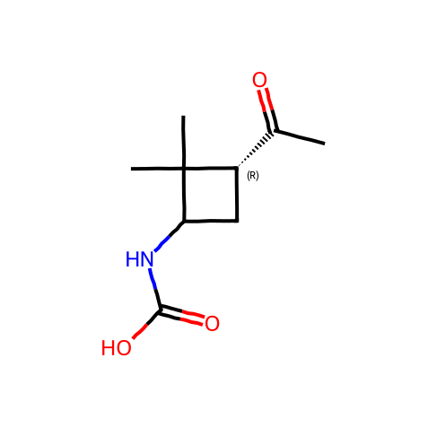 CC(=O)[C@@H]1CC(NC(=O)O)C1(C)C